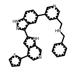 c1ccc(CNCc2cncc(-c3ccc4[nH]nc(-c5cc6c(-c7cccs7)cncc6[nH]5)c4c3)c2)cc1